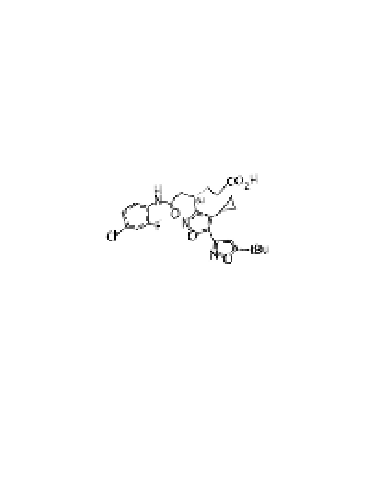 CC(C)(C)c1cc(-c2onc([C@@H](CCC(=O)O)CC(=O)Nc3ccc(Cl)cc3F)c2C2CC2)no1